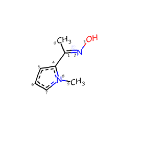 C/C(=N\O)c1cccn1C